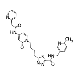 Cc1ccc(CNC(=O)c2nnc(CCCCn3ccc(NC(=O)Cc4ccccn4)cc3=O)s2)cn1